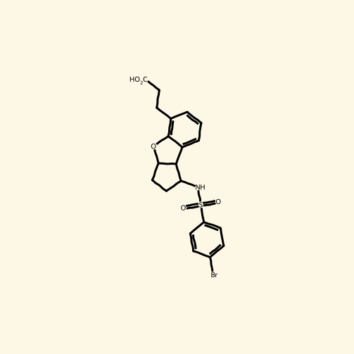 O=C(O)CCc1cccc2c1OC1CCC(NS(=O)(=O)c3ccc(Br)cc3)C21